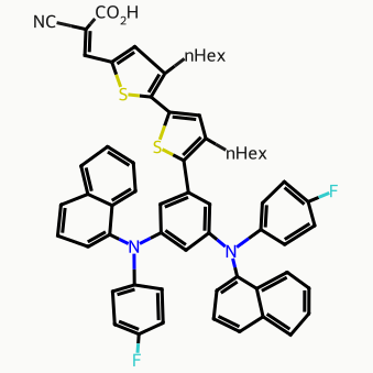 CCCCCCc1cc(-c2sc(/C=C(/C#N)C(=O)O)cc2CCCCCC)sc1-c1cc(N(c2ccc(F)cc2)c2cccc3ccccc23)cc(N(c2ccc(F)cc2)c2cccc3ccccc23)c1